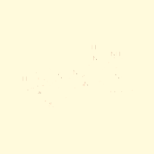 CC(N)(N)c1cnc(OC2CC2)c2cnc(Nc3ccc4c(n3)C3(CC3)C(C)(C)OC4=O)cc12